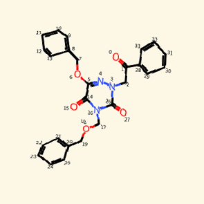 O=C(Cn1nc(OCc2ccccc2)c(=O)n(COCc2ccccc2)c1=O)c1ccccc1